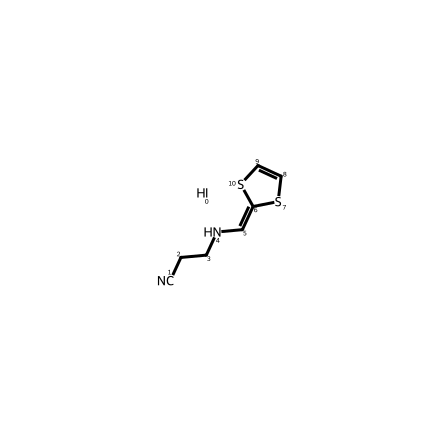 I.N#CCCNC=C1SC=CS1